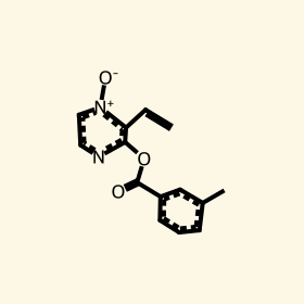 C=Cc1c(OC(=O)c2cccc(C)c2)ncc[n+]1[O-]